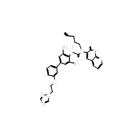 C#CCCCN(C(=O)Nc1c(C(C)C)cc(-c2cccc(OCCn3cncn3)c2)cc1C(C)C)c1cc2cccnc2[nH]c1=O